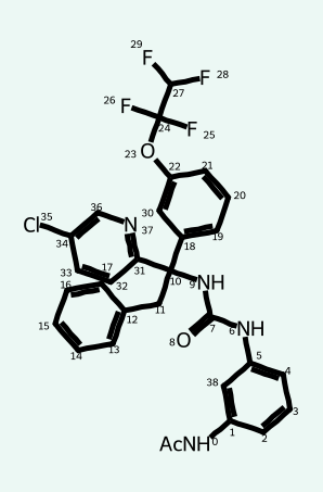 CC(=O)Nc1cccc(NC(=O)NC(Cc2ccccc2)(c2cccc(OC(F)(F)C(F)F)c2)c2ccc(Cl)cn2)c1